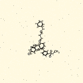 CCS(=O)(=O)c1cccc(-c2ccc(OCCCOCc3ccccc3)c(Nc3ncc(Cl)cc3Br)c2)c1